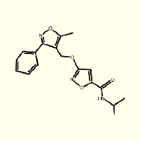 Cc1onc(-c2ccccc2)c1COc1cc(C(=O)NC(C)C)on1